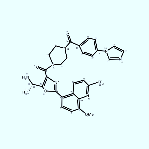 COc1ccc(-c2nc(C(=O)N3CCN(C(=O)c4ccc(-n5ccnc5)cc4)CC3)c([C@H](C)N)o2)c2ccc(C(F)(F)F)nc12